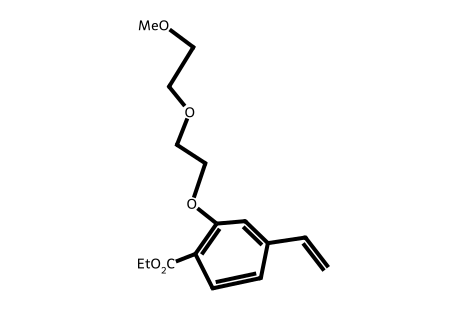 C=Cc1ccc(C(=O)OCC)c(OCCOCCOC)c1